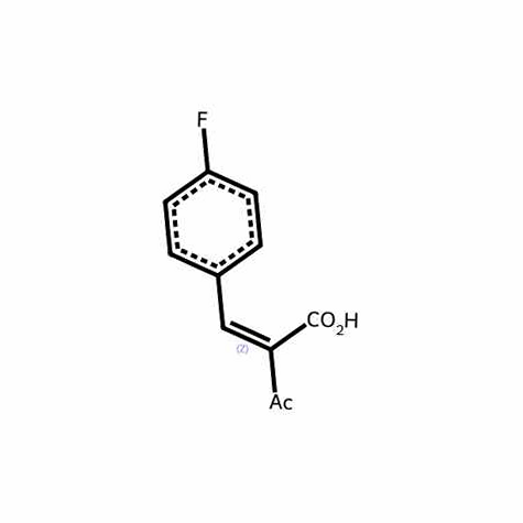 CC(=O)/C(=C/c1ccc(F)cc1)C(=O)O